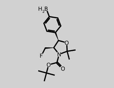 Bc1ccc([C@H]2OC(C)(C)N(C(=O)OC(C)(C)C)[C@H]2CF)cc1